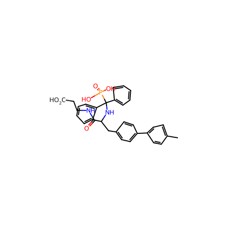 Cc1ccc(-c2ccc(CC(NC(c3ccccc3)(c3ccccc3)P(=O)(O)O)C(=O)NCCC(=O)O)cc2)cc1